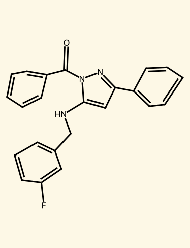 O=C(c1ccccc1)n1nc(-c2ccccc2)cc1NCc1cccc(F)c1